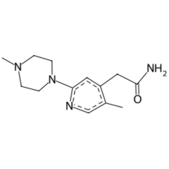 Cc1cnc(N2CCN(C)CC2)cc1CC(N)=O